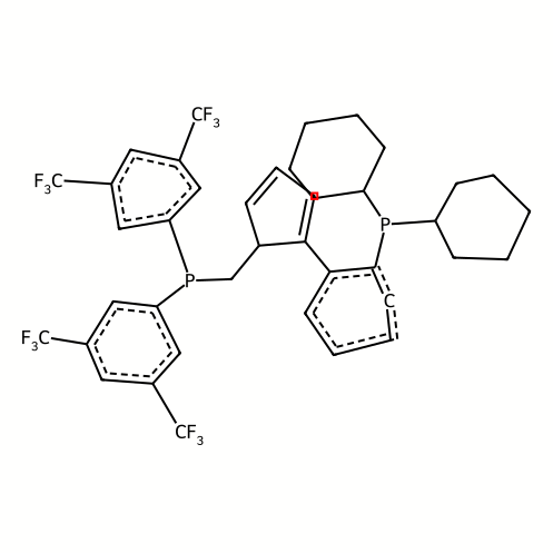 FC(F)(F)c1cc(P(CC2C=CC=C2c2ccccc2P(C2CCCCC2)C2CCCCC2)c2cc(C(F)(F)F)cc(C(F)(F)F)c2)cc(C(F)(F)F)c1